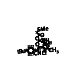 CSCC(=O)OC(C)O/C(=C(/C#N)c1ccc(C(C)(C)C)cc1)c1c(Cl)c(C)nn1C